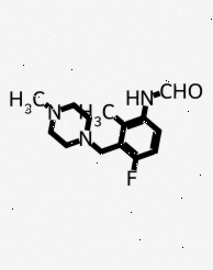 Cc1c(NC=O)ccc(F)c1CN1CCN(C)CC1